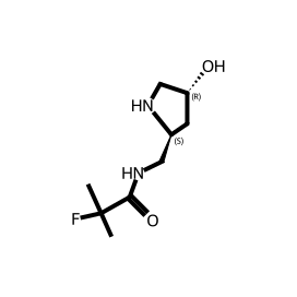 CC(C)(F)C(=O)NC[C@@H]1C[C@@H](O)CN1